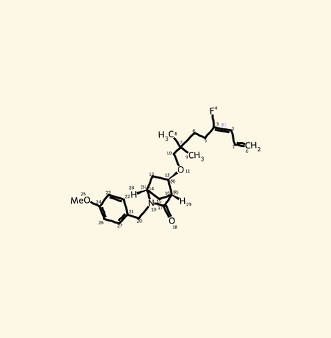 C=C/C=C(/F)CCC(C)(C)CO[C@@H]1C[C@@H]2C[C@H]1C(=O)N2Cc1ccc(OC)cc1